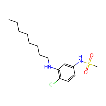 CCCCCCCCNc1cc(NS(C)(=O)=O)ccc1Cl